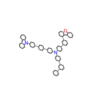 c1ccc(-c2cccc(-c3ccc(N(c4ccc(-c5ccc(-c6ccc(-n7c8ccccc8c8ccccc87)cc6)cc5)cc4)c4ccc(-c5cccc(-c6cccc7oc8ccccc8c67)c5)cc4)cc3)c2)cc1